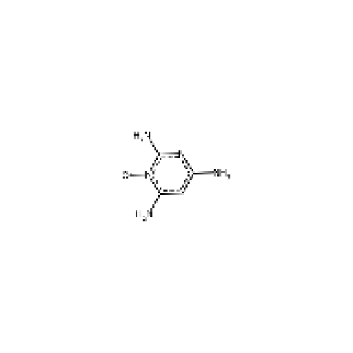 Nc1cc(N)[n+]([O-])c(N)n1